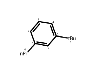 CCCc1c[c]cc(C(C)(C)C)c1